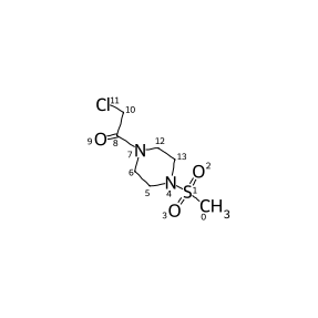 CS(=O)(=O)N1CCN(C(=O)CCl)CC1